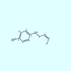 C/C=C\COc1ccc(Cl)cc1